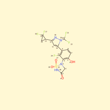 O=C1CN(c2c(O)ccc(-c3cc(C4CC4(F)F)nn3C(F)F)c2F)S(=O)(=O)N1